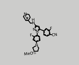 CO[C@H]1CCN(c2ccc(-n3nc(NCC45CCN(CC4)CC5)cc3-c3ccc(C#N)c(F)c3)c(F)c2)C1